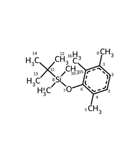 Cc1ccc(C)c(O[Si](C)(C)C(C)(C)C)c1C